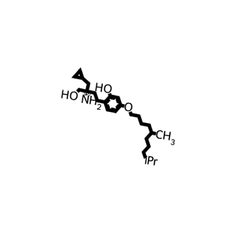 CC(C)CCCC(C)CCCCOc1ccc(CC[C@@](N)(CO)CC2CC2)c(O)c1